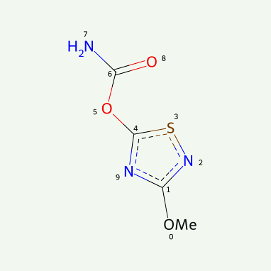 COc1nsc(OC(N)=O)n1